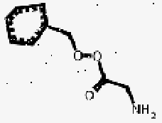 NCC(=O)OOCc1ccccc1